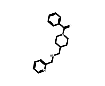 O=C(c1ccccc1)N1CCC(CNCc2ccccn2)CC1